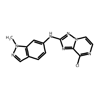 Cn1ncc2ccc(Nc3nc4c(Cl)nccn4n3)cc21